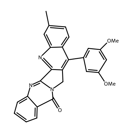 COc1cc(OC)cc(-c2c3c(nc4cc(C)ccc24)-c2nc4ccccc4c(=O)n2C3)c1